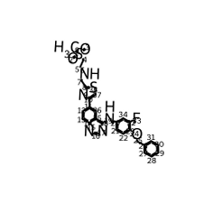 CS(=O)(=O)CCNCc1nc(-c2ccc3ncnc(Nc4ccc(OCc5ccccc5)c(F)c4)c3c2)cs1